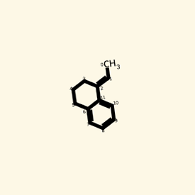 C[C]=C1CCCc2ccccc21